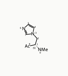 CN[C@@H](Cn1ccnc1)C(C)=O